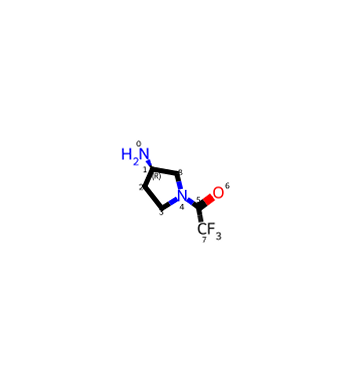 N[C@@H]1CCN(C(=O)C(F)(F)F)C1